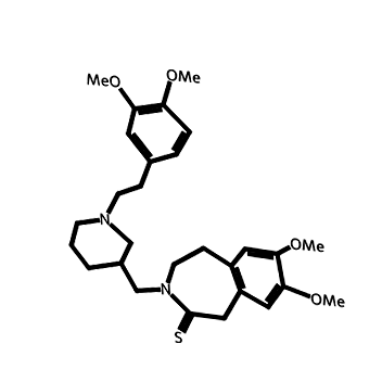 COc1ccc(CCN2CCCC(CN3CCc4cc(OC)c(OC)cc4CC3=S)C2)cc1OC